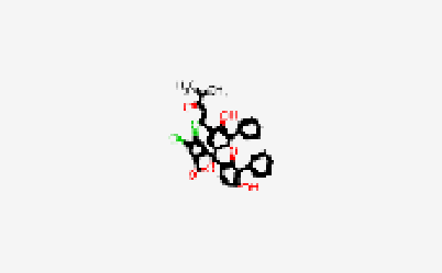 CC(C)C(=O)CCC1=CC2C(Oc3c(ccc(O)c3-c3ccccc3)C23OC(=O)c2cc(Cl)c(Cl)cc23)C(c2ccccc2)=C1O